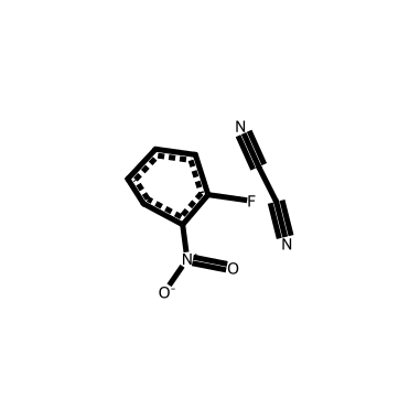 N#CC#N.O=[N+]([O-])c1ccccc1F